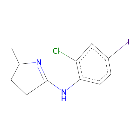 CC1CCC(Nc2ccc(I)cc2Cl)=N1